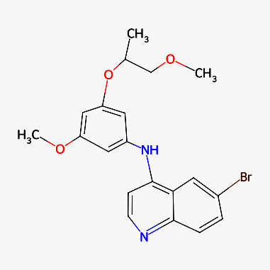 COCC(C)Oc1cc(Nc2ccnc3ccc(Br)cc23)cc(OC)c1